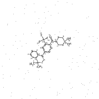 CC1(C)CCN(c2ncc(C(=O)N3CCS(O)(O)CC3)c(C(F)(F)F)n2)c2ccccc21